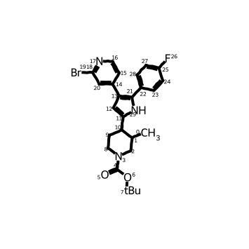 CC1CN(C(=O)OC(C)(C)C)CCC1c1cc(-c2ccnc(Br)c2)c(-c2ccc(F)cc2)[nH]1